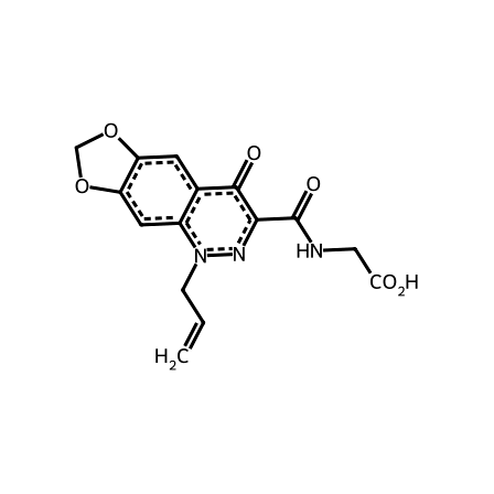 C=CCn1nc(C(=O)NCC(=O)O)c(=O)c2cc3c(cc21)OCO3